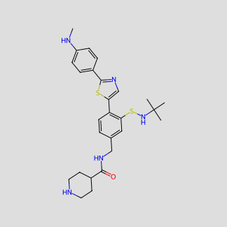 CNc1ccc(-c2ncc(-c3ccc(CNC(=O)C4CCNCC4)cc3SNC(C)(C)C)s2)cc1